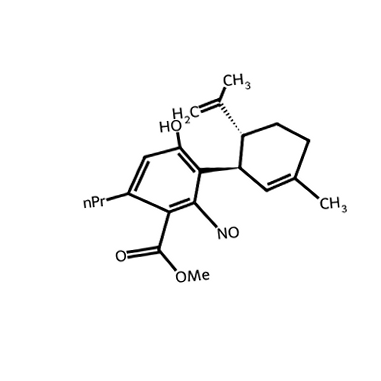 C=C(C)[C@@H]1CCC(C)=C[C@H]1c1c(O)cc(CCC)c(C(=O)OC)c1N=O